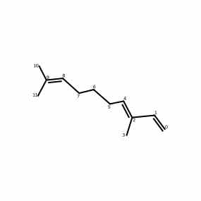 C=C/C(C)=C/CCCC=C(C)C